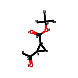 CC(=O)C1CC1C(=O)OC(C)(C)C